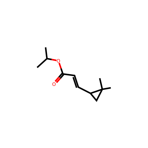 CC(C)OC(=O)C=CC1CC1(C)C